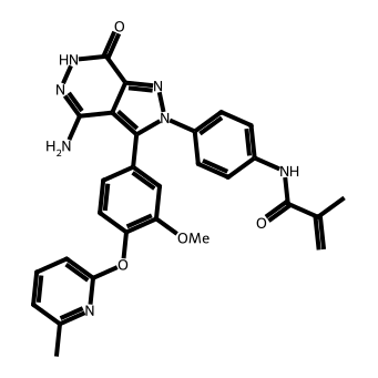 C=C(C)C(=O)Nc1ccc(-n2nc3c(=O)[nH]nc(N)c3c2-c2ccc(Oc3cccc(C)n3)c(OC)c2)cc1